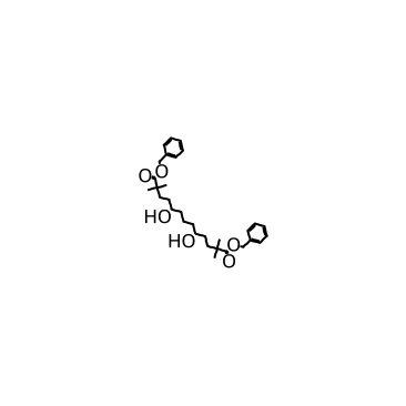 CC(C)(CCC(O)CCCC(O)CCC(C)(C)C(=O)OCc1ccccc1)C(=O)OCc1ccccc1